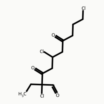 CCC(Cl)([C]=O)C(=O)CC(Cl)CC(=O)CCCCl